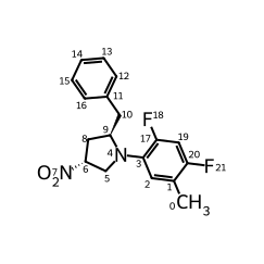 Cc1cc(N2C[C@H]([N+](=O)[O-])C[C@H]2Cc2ccccc2)c(F)cc1F